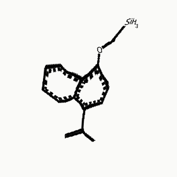 C=C(C)c1ccc(OC[SiH3])c2ccccc12